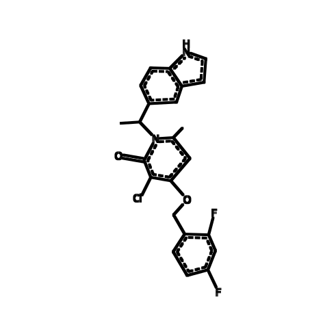 Cc1cc(OCc2ccc(F)cc2F)c(Cl)c(=O)n1C(C)c1ccc2[nH]ccc2c1